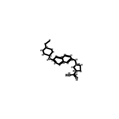 CCC1CCC(Oc2ccc3cc(CN4CC[C@@H](C(=O)O)C4)ccc3c2)CC1